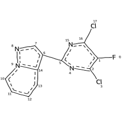 Fc1c(Cl)nc(-c2cnn3ccccc23)nc1Cl